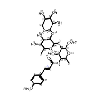 COc1ccc(/C=C/C(=O)OC2C(C)OC(OC(C)=O)C(OC3OC(C)C(O)C(O)C3OC3OCC(O)C(O)C3O)C2O)cc1